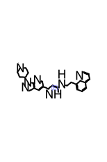 C/C(=C\C(=N)c1cnc2c(cnn2C2CCN(C)CC2)c1)NCCc1cccc2cccnc12